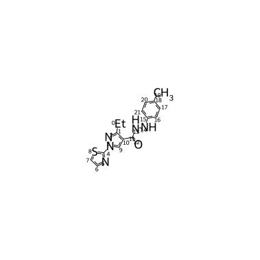 CCc1nn(-c2nccs2)cc1C(=O)NNc1ccc(C)cc1